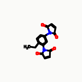 CCc1ccc(N2C(=O)C=CC2=O)cc1N1C(=O)C=CC1=O